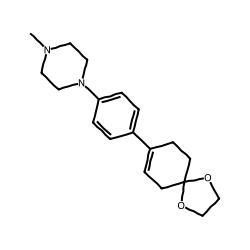 CN1CCN(c2ccc(C3=CCC4(CC3)OCCO4)cc2)CC1